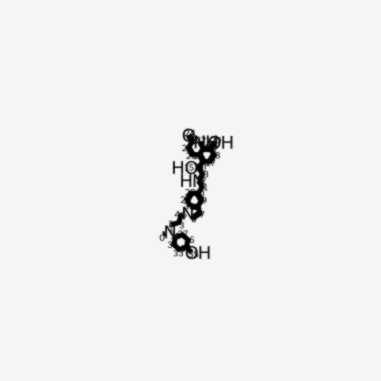 CN(CCCn1ccc2cc(CNC[C@@H](O)c3ccc(O)c4[nH]c(=O)ccc34)ccc21)C1CCC(O)CC1